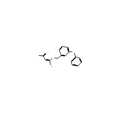 CC(=N)/C=C(/N)NCc1cccc(Oc2ccccc2)c1